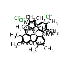 COc1cc(C)c(C)c(OC)c1[Si](c1c(OC)cc(C)c(C)c1OC)(c1c(OC)cc(C)c(C)c1OC)[C]1([Ti+3])C(C)=C(C)C(C)=C1C.[Cl-].[Cl-].[Cl-]